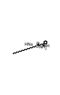 CCCCCCCCCCCCCCCCCCOC(=O)[C@@H](N)Cc1c[nH]c2ccccc12.[NaH]